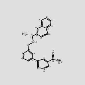 C[C@@H](NCc1cccc(-c2cncc(C(N)=O)c2)c1)c1ccc2ccccc2c1